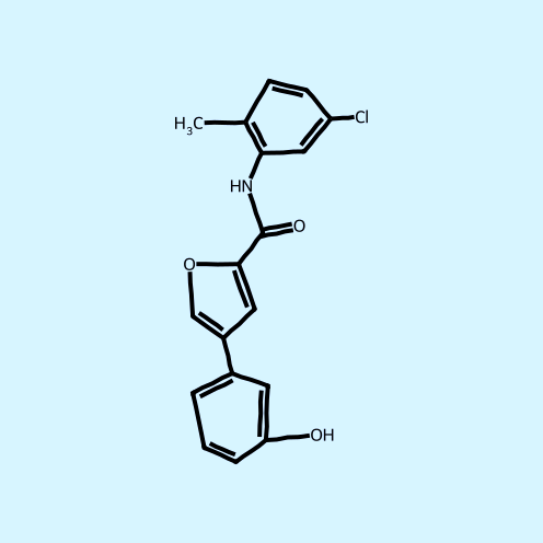 Cc1ccc(Cl)cc1NC(=O)c1cc(-c2cccc(O)c2)co1